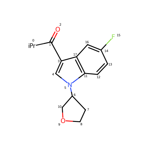 CC(C)C(=O)c1cn(C2CCOC2)c2ccc(F)cc12